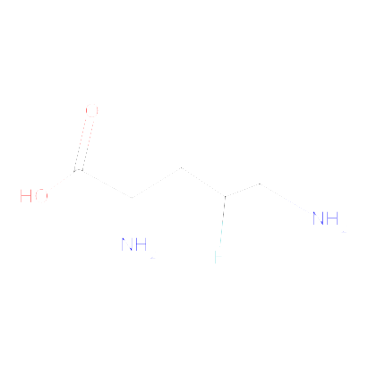 NCC(F)C[C@H](N)C(=O)O